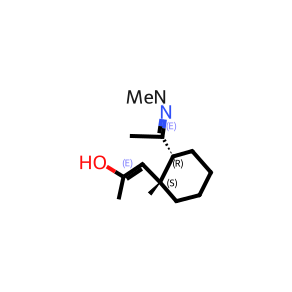 CN/N=C(\C)[C@@H]1CCCC[C@]1(C)/C=C(\C)O